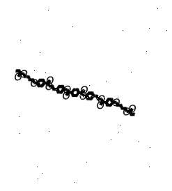 C=CC(=O)OCCCCOc1ccc(C(=O)OCCc2ccc(OC(=O)C3CCC(C(=O)Oc4ccc(CCOC(=O)c5ccc(OCCCCOC(=O)C=C)cc5)cc4)CC3)cc2)cc1